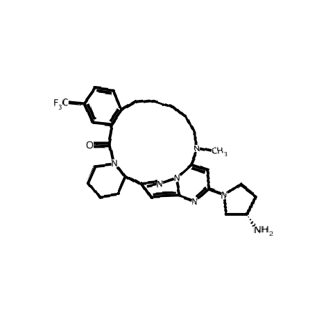 CN1CCCCCc2ccc(C(F)(F)F)cc2C(=O)N2CCCCC2c2cc3nc(N4CC[C@H](N)C4)cc1n3n2